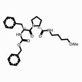 COCCCCNC(=O)[C@H]1CCCN1C(=O)[C@H](Cc1ccccc1)NC(=O)OCc1ccccc1